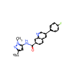 Cn1nc(C(C)(C)C)cc1NC(=O)c1ccc2cc(-c3ccc(F)cc3)cnc2c1